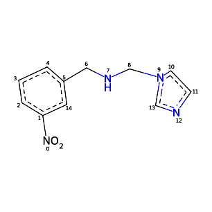 O=[N+]([O-])c1cccc(CNCn2ccnc2)c1